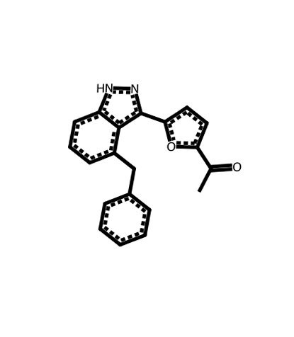 CC(=O)c1ccc(-c2n[nH]c3cccc(Cc4ccccc4)c23)o1